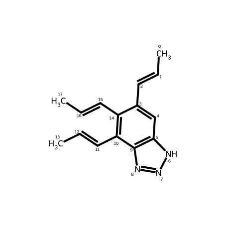 CC=Cc1cc2[nH]nnc2c(C=CC)c1C=CC